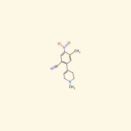 Cc1cc(C2=CCN(C)CC2)c(C#N)cc1[N+](=O)[O-]